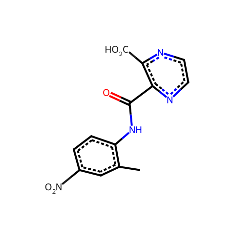 Cc1cc([N+](=O)[O-])ccc1NC(=O)c1nccnc1C(=O)O